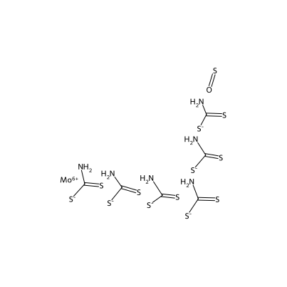 NC(=S)[S-].NC(=S)[S-].NC(=S)[S-].NC(=S)[S-].NC(=S)[S-].NC(=S)[S-].O=S.[Mo+6]